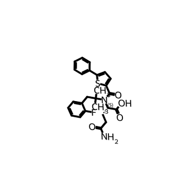 CC(C)(Cc1ccccc1F)N(C(=O)c1ccc(-c2ccccc2)s1)[C@@H](CCC(N)=O)C(=O)O